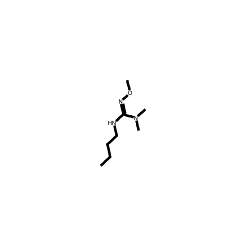 CCCCN/C(=N/OC)N(C)C